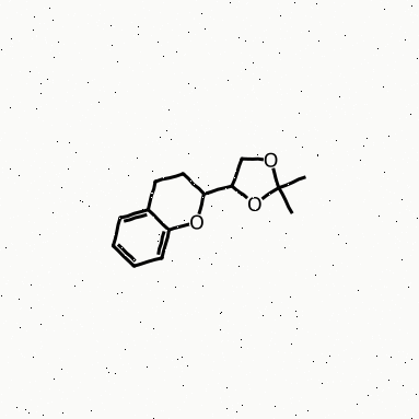 CC1(C)OCC(C2CCc3ccccc3O2)O1